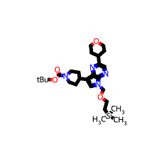 CC(C)(C)OC(=O)N1CCC(c2cn(COCC[Si](C)(C)C)c3ncc(C4CCOCC4)nc23)CC1